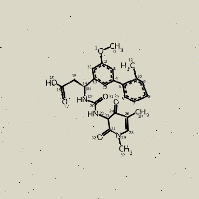 COc1cc(-c2ccccc2C)cc([C@H](CC(=O)O)NC(=O)NC2C(=O)C(C)=CN(C)C2=O)c1